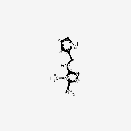 Cn1c(N)nnc1NCc1ccc[nH]1